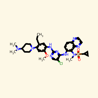 CCc1cc(Nc2ncc(Cl)c(Nc3ccc4nccnc4c3N(C)S(=O)(=O)C3CC3)n2)c(OC)cc1N1CCC(N(C)C)CC1